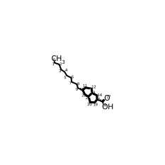 CCCCCCCCCCc1ccc2cc(C(=O)O)ccc2c1